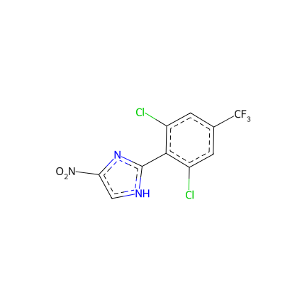 O=[N+]([O-])c1c[nH]c(-c2c(Cl)cc(C(F)(F)F)cc2Cl)n1